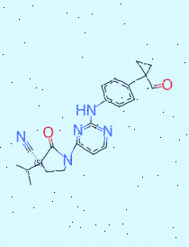 CC(C)[C@]1(C#N)CCN(c2ccnc(Nc3ccc(C4([C]=O)CC4)cc3)n2)C1=O